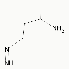 CC(N)CCN=N